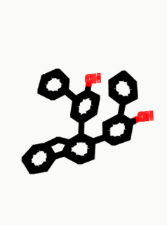 Oc1ccc(-c2ccc3c(c2-c2ccc(O)c(-c4ccccc4)c2)Cc2ccccc2-3)cc1-c1ccccc1